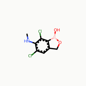 CNc1c(Cl)cc2c(c1Cl)B(O)OC2